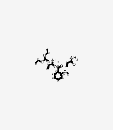 C=CC(N)=O.C=CC(N)=O.CCOC(C)OCC.COc1ccccc1C=O